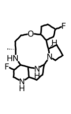 C[C@@H]1CCOC2CCC(F)CC2[C@H]2CCCN2C2CCC3NCC(F)C(N1)C3N2